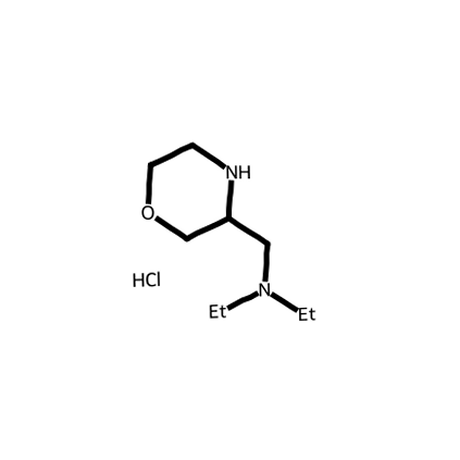 CCN(CC)CC1COCCN1.Cl